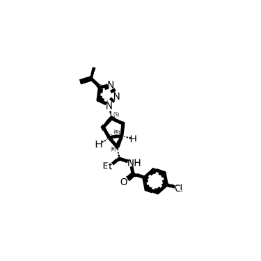 C=C(C)c1cn([C@@H]2C[C@@H]3[C@H](C2)[C@H]3C(CC)NC(=O)c2ccc(Cl)cc2)nn1